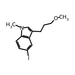 COCCCc1cn(C)c2ccc(I)cc12